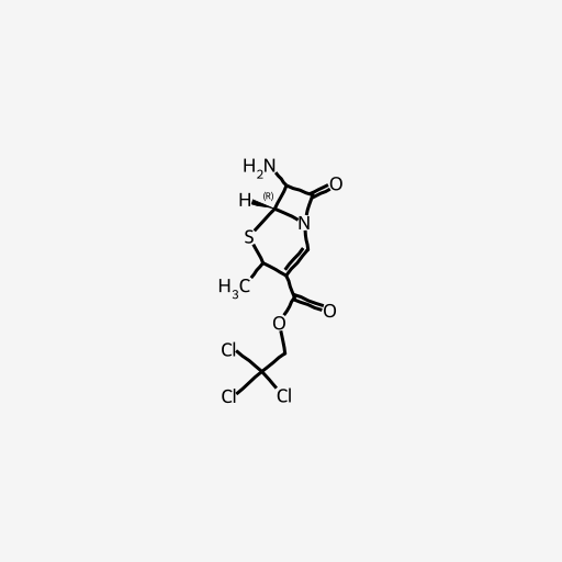 CC1S[C@@H]2C(N)C(=O)N2C=C1C(=O)OCC(Cl)(Cl)Cl